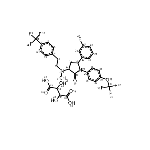 CN(CCc1ccc(C(F)(F)F)nc1)C1CC(c2cccc(F)c2)N(c2ccc(OC(F)(F)F)cc2)C1=O.O=C(O)C(O)C(O)C(=O)O